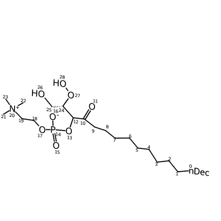 CCCCCCCCCCCCCCCCCCCC(=O)C(OP(=O)([O-])OCC[N+](C)(C)C)[C@H](CO)OO